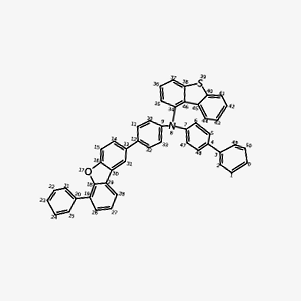 c1ccc(-c2ccc(N(c3ccc(-c4ccc5oc6c(-c7ccccc7)cccc6c5c4)cc3)c3cccc4sc5ccccc5c34)cc2)cc1